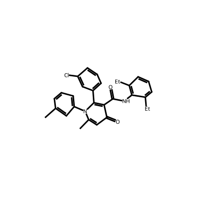 CCc1cccc(CC)c1NC(=O)c1c(-c2cccc(Cl)c2)n(-c2cccc(C)c2)c(C)cc1=O